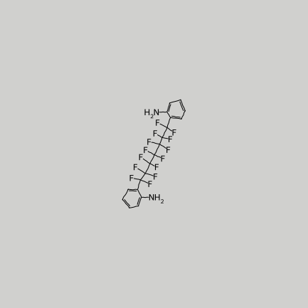 Nc1ccccc1C(F)(F)C(F)(F)C(F)(F)C(F)(F)C(F)(F)C(F)(F)C(F)(F)c1ccccc1N